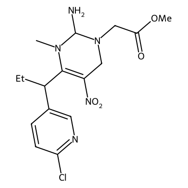 CCC(C1=C([N+](=O)[O-])CN(CC(=O)OC)C(N)N1C)c1ccc(Cl)nc1